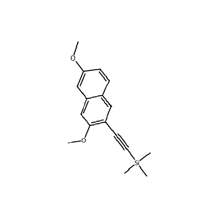 COc1ccc2cc(C#C[Si](C)(C)C)c(OC)cc2c1